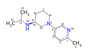 Cc1ccc(N2CCC[C@H](NC(C)C)C2)cn1